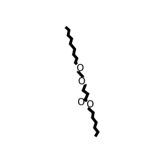 CCCCCCCCCOCCOCCCC(=O)OCCCCCCC